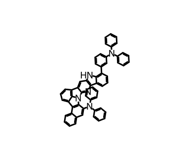 c1ccc(N(c2ccccc2)c2cccc(-c3cccc4c3[nH]c3cc5c6cccc7c8c9ccccc9cc(N(c9ccccc9)c9ccccc9)c8n(c5nc34)c67)c2)cc1